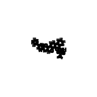 O=C(NS(=O)(=O)C1CC1)c1ccccc1-c1ccc2c(c1)OC[C@@H](Cc1ccc(-c3cncs3)cn1)[C@@H]2O